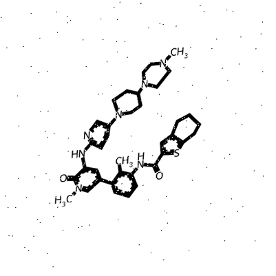 Cc1c(NC(=O)c2cc3c(s2)CCCC3)cccc1-c1cc(Nc2ccc(N3CCC(N4CCN(C)CC4)CC3)cn2)c(=O)n(C)c1